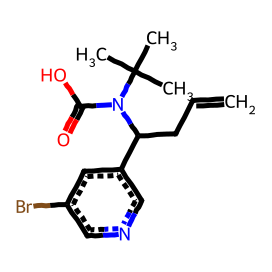 C=CCC(c1cncc(Br)c1)N(C(=O)O)C(C)(C)C